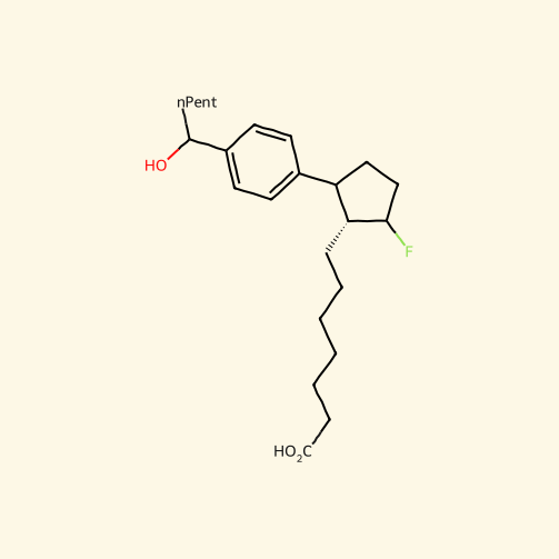 CCCCCC(O)c1ccc(C2CCC(F)[C@@H]2CCCCCCC(=O)O)cc1